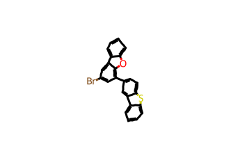 Brc1cc(-c2ccc3sc4ccccc4c3c2)c2oc3ccccc3c2c1